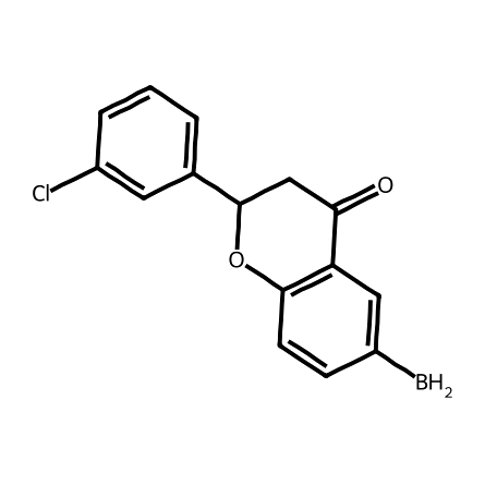 Bc1ccc2c(c1)C(=O)CC(c1cccc(Cl)c1)O2